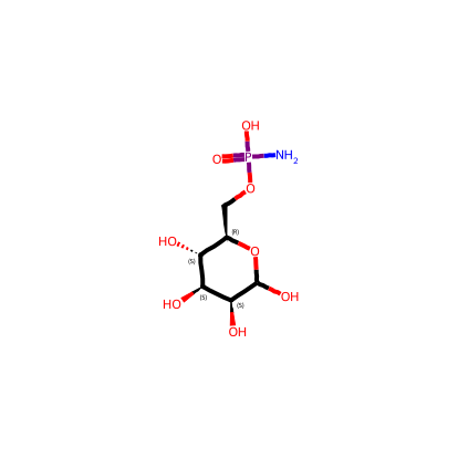 NP(=O)(O)OC[C@H]1OC(O)[C@@H](O)[C@@H](O)[C@@H]1O